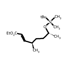 CCOC(=O)/C=C/[C@H](C)CC[C@@H](C)O[Si](C)(C)C(C)(C)C